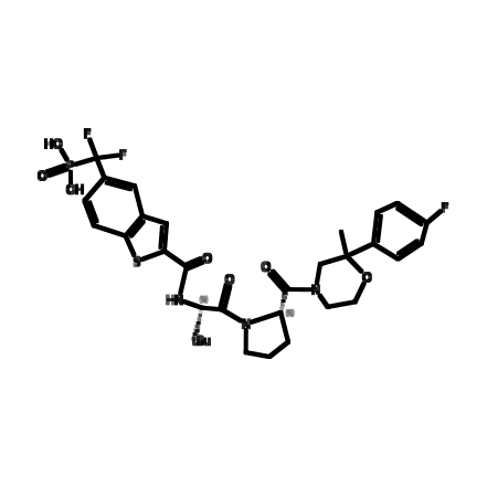 CC1(c2ccc(F)cc2)CN(C(=O)[C@@H]2CCCN2C(=O)[C@@H](NC(=O)c2cc3cc(C(F)(F)P(=O)(O)O)ccc3s2)C(C)(C)C)CCO1